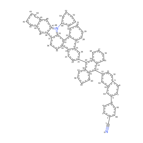 N#Cc1ccc(-c2ccc3ccc(-c4c5ccccc5c(-c5ccc6c(c5)c5ccccc5c5c6ccc6c7cc8ccccc8cc7n(-c7ccccc7)c65)c5ccccc45)cc3c2)cc1